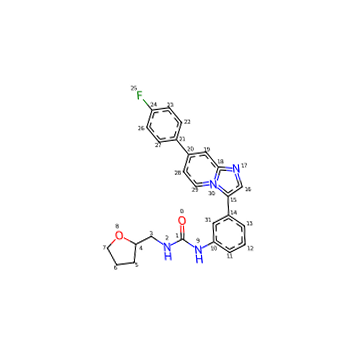 O=C(NCC1CCCO1)Nc1cccc(-c2cnc3cc(-c4ccc(F)cc4)ccn23)c1